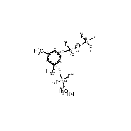 Cc1cccc(C)c1.F[B-](F)(F)F.F[B-](F)(F)F.F[B-](F)(F)F.O.[KH]